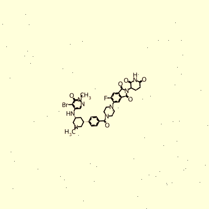 CN1C[C@H](Nc2cnn(C)c(=O)c2Br)C[C@H](c2ccc(C(=O)N3CCN(c4cc5c(cc4F)C(=O)N(C4CCC(=O)NC4=O)C5=O)CC3)cc2)C1